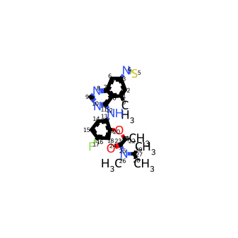 Cc1cc(N=S)cc2ncnc(Nc3ccc(F)cc3O[C@H](C)C(=O)N(C)C(C)C)c12